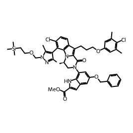 COC(=O)c1cc2cc(OCc3ccccc3)cc(N3C[C@@H](C)n4c(c(CCCOc5cc(C)c(Cl)c(C)c5)c5ccc(Cl)c(-c6c(C)nn(COCC[Si](C)(C)C)c6C)c54)C3=O)c2[nH]1